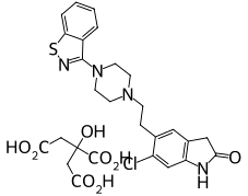 O=C(O)CC(O)(CC(=O)O)C(=O)O.O=C1Cc2cc(CCN3CCN(c4nsc5ccccc45)CC3)c(Cl)cc2N1